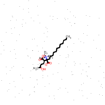 CCCCCCCCCCCCC(C(=O)[O-])(C(CCC(C)O)C(=O)O)[N+](C)(C)C